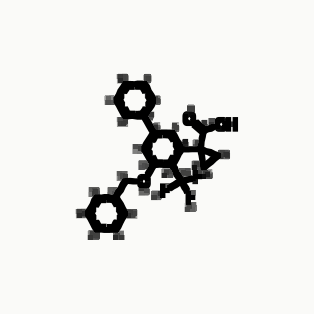 O=C(O)C1(c2cc(-c3ccccc3)cc(OCc3ccccc3)c2C(F)(F)F)CC1